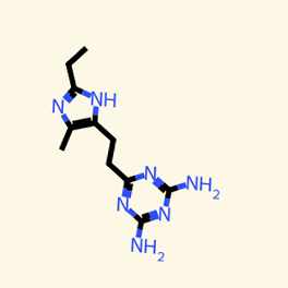 CCc1nc(C)c(CCc2nc(N)nc(N)n2)[nH]1